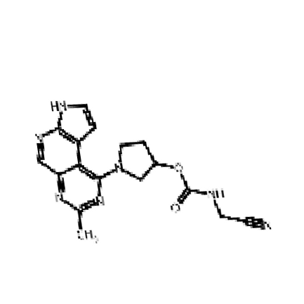 Cc1nc(N2CCC(OC(=O)NCC#N)C2)c2c(cnc3[nH]ccc32)n1